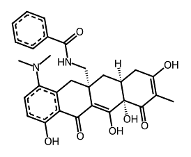 CC1=C(O)C[C@@H]2C[C@]3(CNC(=O)c4ccccc4)Cc4c(N(C)C)ccc(O)c4C(=O)C3=C(O)[C@]2(O)C1=O